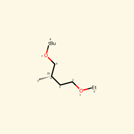 CCOCC[C@H](C)COC(C)(C)C